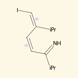 CC(C)C(=N)/C=C\C(=C/I)C(C)C